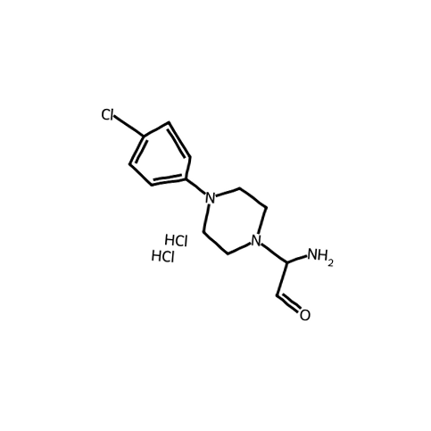 Cl.Cl.NC(C=O)N1CCN(c2ccc(Cl)cc2)CC1